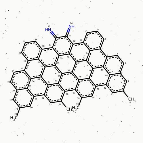 Cc1cc2ccc3c4cccc5c6c(=N)c(=N)c7c8cccc9c%10ccc%11cc(C)cc%12c%13cc(C)c%14c%15c(C)cc%16c(c1)c2c3c1c%16c%15c2c3c%14c%13c(c%10c%11%12)c(c98)c3c7c6c2c1c45